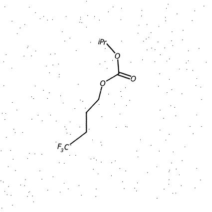 CC(C)OC(=O)OCCCC(F)(F)F